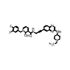 CCN1CCC(Nc2cnc3ccc(C#CCNC(=O)C4=CC=CN(Cc5ccc(F)c(F)c5)C4O)cc3n2)CC1